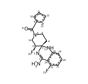 NC1=N[C@@]2(CCN(C(=O)c3cccs3)C[C@@H]2F)Nc2cccc(F)c21